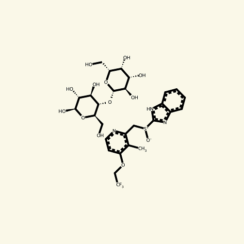 Cc1c(OCC(F)(F)F)ccnc1C[S+]([O-])c1nc2ccccc2[nH]1.OC[C@H]1O[C@@H](O[C@H]2[C@H](O)[C@@H](O)[C@H](O)O[C@@H]2CO)[C@H](O)[C@@H](O)[C@H]1O